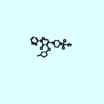 CC1CCC(Oc2c(N3CCN(S(=O)(=O)C(C)C)CC3)cnn(-c3cccnn3)c2=O)C1